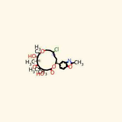 Cc1nc2cc([C@@H]3C/C=C(\Cl)CCO[C@@H](C)[C@@H](O)[C@@H](C)C(=O)C(C)(C)[C@@H](O)CC(=O)O3)ccc2o1